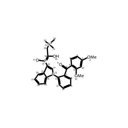 COc1ccc(C(=O)c2ccccc2-n2cc(/[P+]([O-])=C(\O)C[N+](C)(C)C)c3ccccc32)c(OC)c1